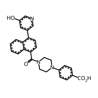 O=C(O)c1ccc(N2CCN(C(=O)c3ccc(-c4cncc(O)c4)c4ccccc34)CC2)cc1